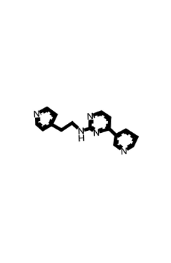 c1cncc(-c2ccnc(NCCc3ccncc3)n2)c1